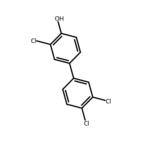 Oc1ccc(-c2ccc(Cl)c(Cl)c2)cc1Cl